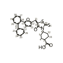 O=C(O)C1CCC(N2C(=O)/C(=C\c3ccc(-c4ccccc4-c4ccccc4)o3)SC2=S)CC1